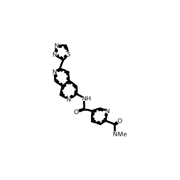 CNC(=O)c1ccc(C(=O)Nc2cc3cc(-c4nncs4)ncc3cn2)cn1